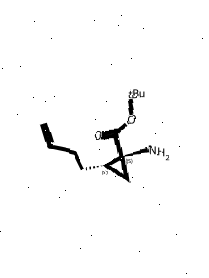 C=CCC[C@H]1C[C@@]1(N)C(=O)OC(C)(C)C